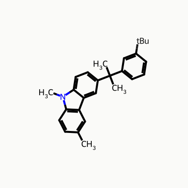 Cc1ccc2c(c1)c1cc(C(C)(C)c3cccc(C(C)(C)C)c3)ccc1n2C